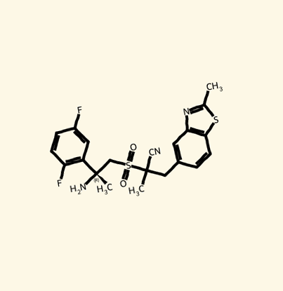 Cc1nc2cc(CC(C)(C#N)S(=O)(=O)C[C@](C)(N)c3cc(F)ccc3F)ccc2s1